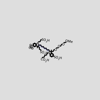 COCCOCCOCCOCCC1(C)C(/C=C/C=C/C=C/C=C2/N(CCCS(=O)(=O)O)c3ccc(S(=O)(=O)[O-])cc3C2(C)CCCS(=O)(=O)O)=[N+](CCCCCC(=O)O)c2ccc(S(=O)(=O)O)cc21